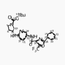 CC(C)(C)OC(=O)N1CC[C@@H](Nc2ccc(NC(=O)c3nc(-c4ccccc4)oc3C(F)(F)F)cn2)C1